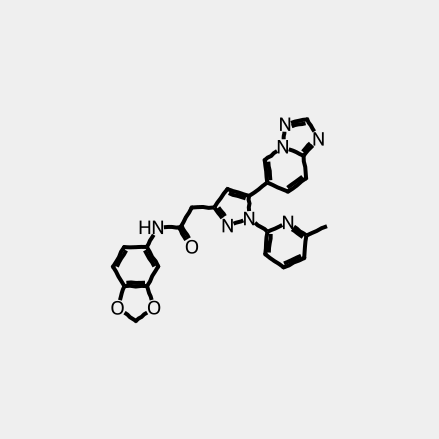 Cc1cccc(-n2nc(CC(=O)Nc3ccc4c(c3)OCO4)cc2-c2ccc3ncnn3c2)n1